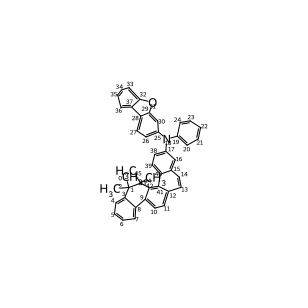 CC1(C)c2ccccc2-c2ccc3ccc4cc(N(c5ccccc5)c5ccc6c(c5)oc5ccccc56)ccc4c3c2C1(C)C